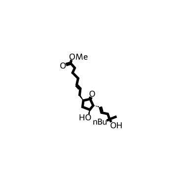 CCCCC(C)(O)CC=C[C@H]1C(=O)[C@H](CC=CCCCC(=O)OC)C[C@@H]1O